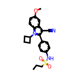 CCCS(=O)(=O)Nc1ccc(-c2c(C#N)c3cc(OC)ccc3n2C2CCC2)cc1